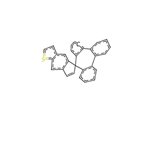 C1=CC2(c3cc4ccsc4cc31)c1ccccc1-c1ccccc1-c1ccccc12